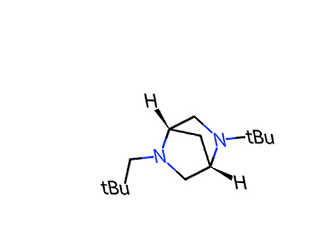 CC(C)(C)CN1C[C@@H]2C[C@H]1CN2C(C)(C)C